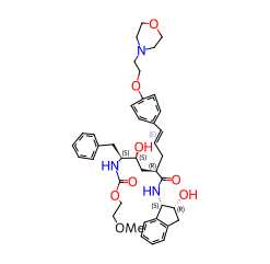 COCCOC(=O)N[C@@H](Cc1ccccc1)[C@@H](O)C[C@@H](C/C=C/c1ccc(OCCN2CCOCC2)cc1)C(=O)N[C@H]1c2ccccc2C[C@H]1O